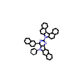 C1=CC(n2c3cc4ccccc4cc3c3nc(-n4c5ccc6ccccc6c5c5c6ccccc6ccc54)nc(-c4ccc5ccccc5c4)c32)=CCC1